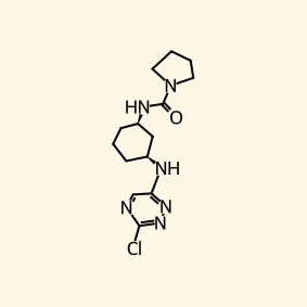 O=C(N[C@@H]1CCC[C@H](Nc2cnc(Cl)nn2)C1)N1CCCC1